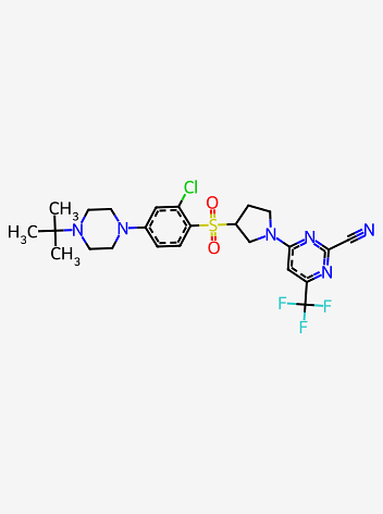 CC(C)(C)N1CCN(c2ccc(S(=O)(=O)C3CCN(c4cc(C(F)(F)F)nc(C#N)n4)C3)c(Cl)c2)CC1